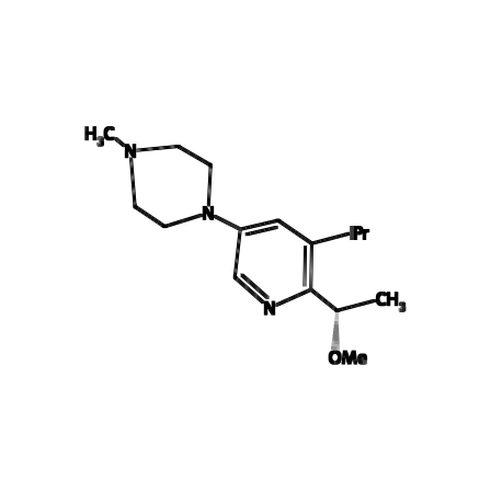 CO[C@@H](C)c1ncc(N2CCN(C)CC2)cc1C(C)C